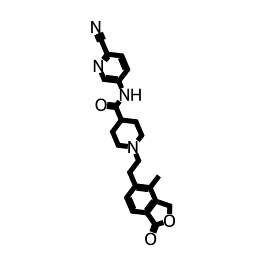 Cc1c(CCN2CCC(C(=O)Nc3ccc(C#N)nc3)CC2)ccc2c1COC2=O